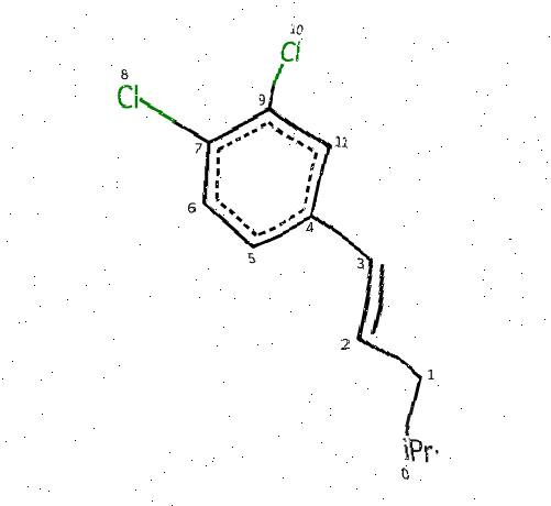 C[C](C)CC=Cc1ccc(Cl)c(Cl)c1